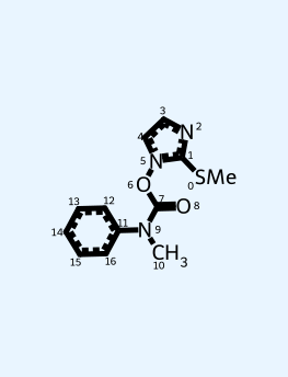 CSc1nccn1OC(=O)N(C)c1ccccc1